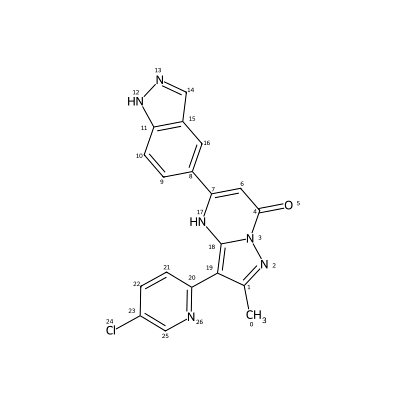 Cc1nn2c(=O)cc(-c3ccc4[nH]ncc4c3)[nH]c2c1-c1ccc(Cl)cn1